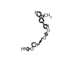 Cn1c2ccncc2c2ccc(-c3ccc(O[C@H]4C[C@H](OCC#CCN5CCCC(OC6CNC6)C5)C4)nc3)cc21